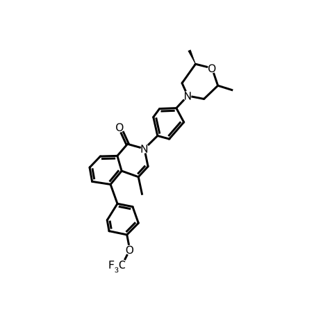 Cc1cn(-c2ccc(N3CC(C)O[C@H](C)C3)cc2)c(=O)c2cccc(-c3ccc(OC(F)(F)F)cc3)c12